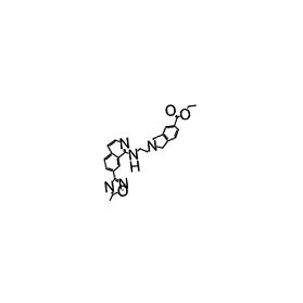 CCOC(=O)c1ccc2c(c1)CN(CCNc1nccc3ccc(-c4noc(C)n4)cc13)C2